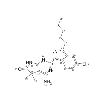 CCCCCc1nn(-c2nc(N)c3c(n2)NC(=O)C3(C)C)c2ccc(Cl)cc12